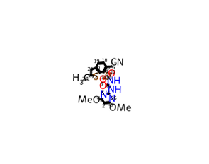 COc1cc(OC)nc(NC(=O)NS(=O)(=O)c2c(CC#N)ccc3c2SC(C)C3)n1